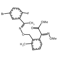 CO/N=C(/C(=O)OC)c1cccc(C)c1CO/N=C(\C)c1cc(Br)ccc1F